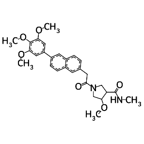 CNC(=O)C1CN(C(=O)Cc2ccc3cc(-c4cc(OC)c(OC)c(OC)c4)ccc3c2)CC1OC